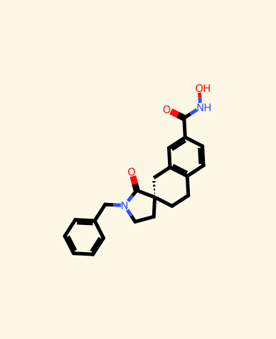 O=C(NO)c1ccc2c(c1)C[C@]1(CC2)CCN(Cc2ccccc2)C1=O